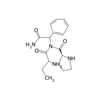 CCC(N)C(=O)N(C(=O)[C@@H]1CCCN1)C(C(N)=O)c1ccccc1